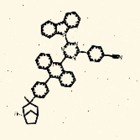 CC1(c2ccc(-c3c4ccccc4c(-c4nc(-c5ccc(C#N)cc5)nc(-n5c6ccccc6c6ccccc65)n4)c4ccccc34)cc2)CC2CC[C@H](C2)C1